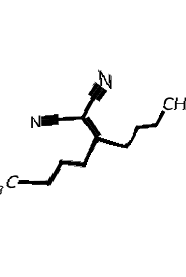 CCCCC(CCCC)=C(C#N)C#N